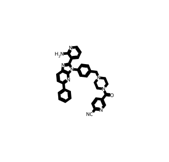 N#Cc1ccc(C(=O)N2CCN(Cc3ccc(-n4c(-c5cccnc5N)nc5ccc(-c6ccccc6)nc54)cc3)CC2)cn1